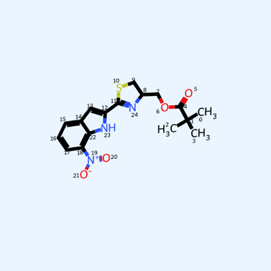 CC(C)(C)C(=O)OCC1CSC(c2cc3cccc([N+](=O)[O-])c3[nH]2)=N1